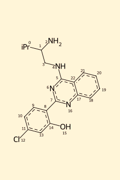 CC(C)C(N)CNc1nc(-c2ccc(Cl)cc2O)nc2ccccc12